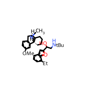 CCc1cccc2cc(C(O)CNC(C)(C)C)oc12.COc1ccc2c(c1)[C@]13CCCC[C@@H]1[C@H](C2)N(C)CC3